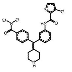 CCN(CC)C(=O)c1ccc(C(=C2CCNCC2)c2cccc(NC(=O)c3sccc3Cl)c2)cc1